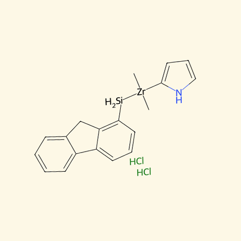 Cl.Cl.[CH3][Zr]([CH3])([SiH2]c1cccc2c1Cc1ccccc1-2)[c]1ccc[nH]1